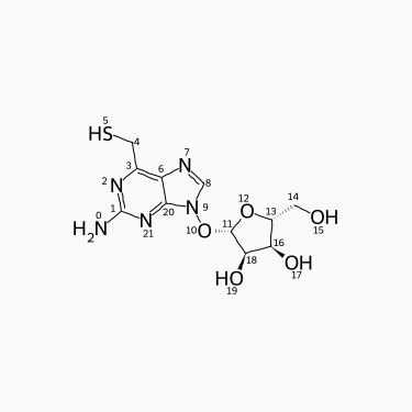 Nc1nc(CS)c2ncn(O[C@@H]3O[C@H](CO)[C@@H](O)[C@H]3O)c2n1